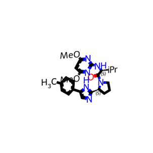 COc1cc(OC)nc(N[C@H](C(=O)N2CCC[C@H]2c2ncc(-c3ccc(C)cc3)[nH]2)C(C)C)n1